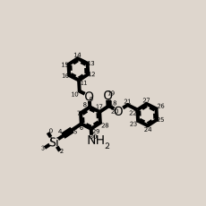 C[Si](C)(C)C#Cc1cc(OCc2ccccc2)c(C(=O)OCc2ccccc2)cc1N